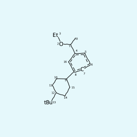 [CH2]C(OCC)c1cccc(C2CCC(C(C)(C)C)CC2)c1